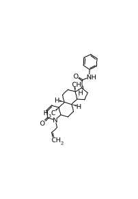 C=CCN1C(=O)C=C[C@@]2(C)C1CC[C@@H]1[C@H]2CC[C@]2(C)C(C(=O)Nc3ccccc3)CC[C@@H]12